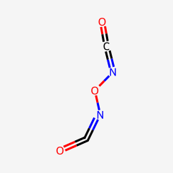 O=C=NON=C=O